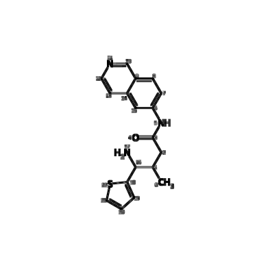 CC(CC(=O)Nc1ccc2cnccc2c1)C(N)c1cccs1